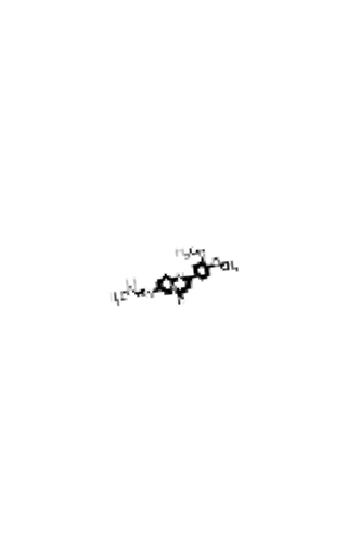 CNCCNc1ccc2nc(-c3ccc(OC)c(OC)c3)cc(=O)n2c1